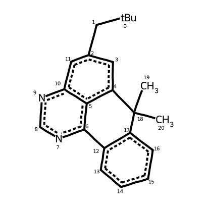 CC(C)(C)Cc1cc2c3c(ncnc3c1)-c1ccccc1C2(C)C